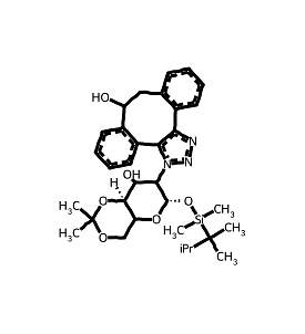 CC(C)C(C)(C)[Si](C)(C)O[C@@H]1OC2COC(C)(C)O[C@H]2C(O)C1n1nnc2c1-c1ccccc1C(O)Cc1ccccc1-2